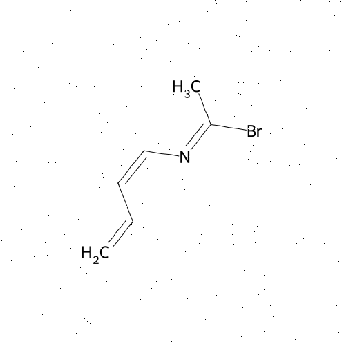 C=C/C=C\N=C(/C)Br